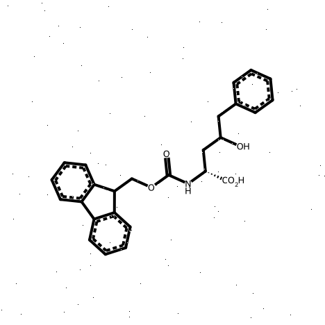 O=C(N[C@H](CC(O)Cc1ccccc1)C(=O)O)OCC1c2ccccc2-c2ccccc21